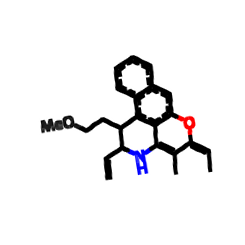 C=CC1NC2=C(C)/C(=C\C)Oc3cc4ccccc4c(c32)C1CCOC